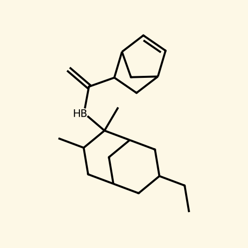 C=C(BC1(C)C(C)CC2CC(CC)CC1C2)C1CC2C=CC1C2